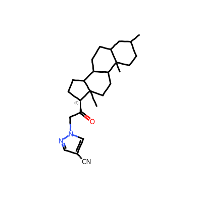 CC1CCC2(C)C(CCC3C2CCC2(C)C3CC[C@@H]2C(=O)Cn2cc(C#N)cn2)C1